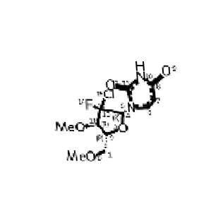 COC[C@H]1O[C@@H](n2ccc(=O)[nH]c2=O)[C@@](F)(Cl)[C@@H]1OC